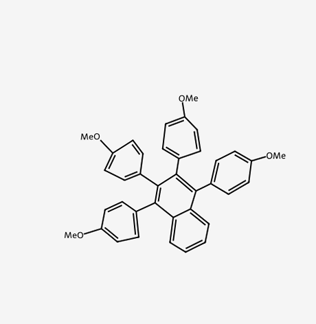 COc1ccc(-c2c(-c3ccc(OC)cc3)c(-c3ccc(OC)cc3)c3ccccc3c2-c2ccc(OC)cc2)cc1